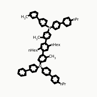 CCCCCCc1cc(-c2ccc(N(c3ccc(-c4ccc(CCC)cc4)cc3)c3ccc(-c4cccc(C)c4)cc3)cc2C)c(CCCCCC)cc1-c1ccc(N(c2ccc(-c3ccccc3)cc2)c2ccc(-c3ccc(CCC)cc3)cc2)cc1C